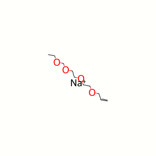 C=CCOCCOCCOCOCC.[Na+]